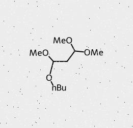 CCCCOC(CC(OC)OC)OC